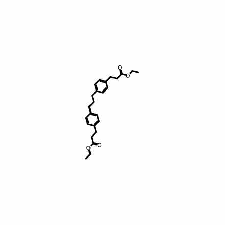 CCOC(=O)CCc1ccc(CCCc2ccc(CCC(=O)OCC)cc2)cc1